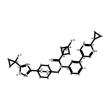 O=C(N(CC12CCC(c3noc(C4(F)CC4)n3)(CC1)CC2)c1cccc(-c2cnc(C3CC3)nc2)c1)C12CC(F)(C1)C2